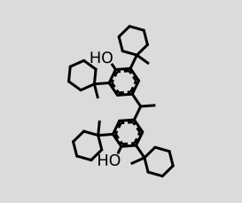 CC(c1cc(C2(C)CCCCC2)c(O)c(C2(C)CCCCC2)c1)c1cc(C2(C)CCCCC2)c(O)c(C2(C)CCCCC2)c1